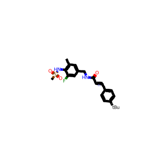 Cc1cc(CNC(=O)/C=C/c2ccc(C(C)(C)C)cc2)cc(F)c1NS(C)(=O)=O